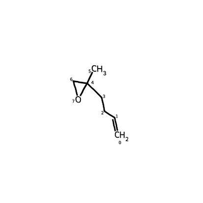 C=CCCC1(C)CO1